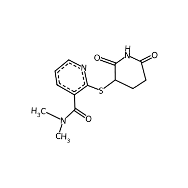 CN(C)C(=O)c1cccnc1SC1CCC(=O)NC1=O